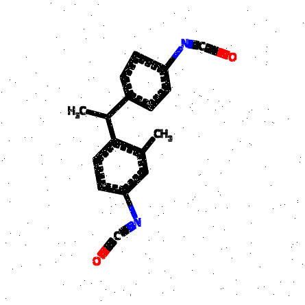 Cc1cc(N=C=O)ccc1C(C)c1ccc(N=C=O)cc1